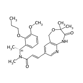 CCCOc1c(OC)cccc1[C@@H](C)N(C)C(=O)C=Cc1cnc2c(c1)COC(C)(C)C(=O)N2